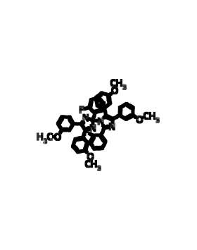 COc1cccc(C2=NC(c3ccccc3F)(n3c(-c4ccccc4F)nc(-c4cccc(OC)c4)c3-c3cccc(OC)c3)N=C2c2cccc(OC)c2)c1